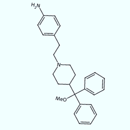 COC(c1ccccc1)(c1ccccc1)C1CCN(CCc2ccc(N)cc2)CC1